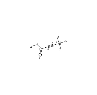 CCC(=O)C#C[Si](C)(C)C